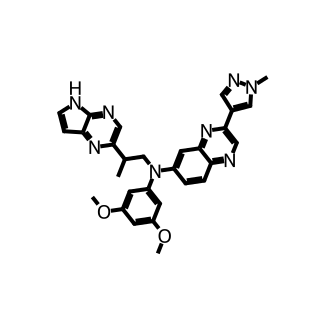 COc1cc(OC)cc(N(CC(C)c2cnc3[nH]ccc3n2)c2ccc3ncc(-c4cnn(C)c4)nc3c2)c1